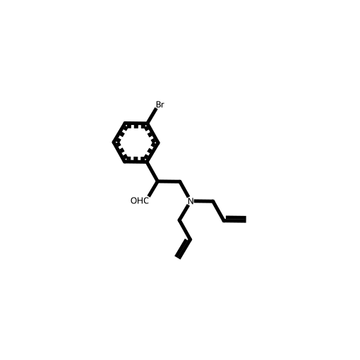 C=CCN(CC=C)CC(C=O)c1cccc(Br)c1